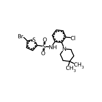 CC1(C)CCN(c2c(Cl)cccc2NS(=O)(=O)c2ccc(Br)s2)CC1